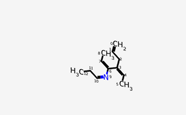 C=CCC(=C/C)/C(=C\C)/N=C\CC